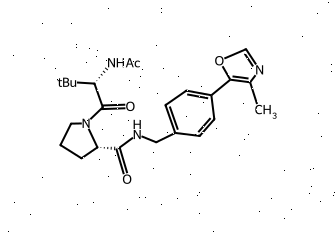 CC(=O)N[C@H](C(=O)N1CCC[C@H]1C(=O)NCc1ccc(-c2ocnc2C)cc1)C(C)(C)C